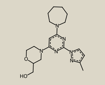 Cc1ccn(-c2nc(N3CCCCCC3)cc(N3CCOC(CO)C3)n2)n1